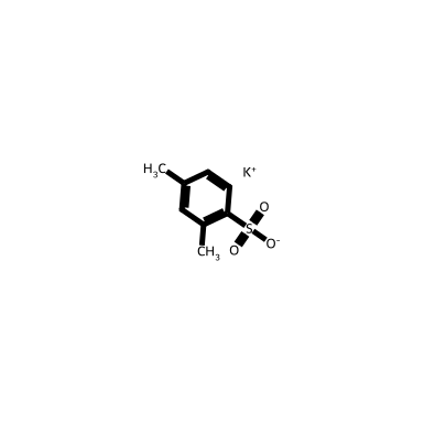 Cc1ccc(S(=O)(=O)[O-])c(C)c1.[K+]